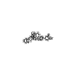 O=S(=O)(c1cc(-c2nc(-c3ccc(Br)c(F)c3)c[nH]2)ccc1Cl)N1CCC(c2ccccn2)CC1